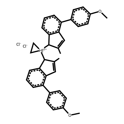 COc1ccc(-c2cccc3c2C=C(C)[CH]3[Hf+2]2([CH]3C(C)=Cc4c(-c5ccc(OC)cc5)cccc43)[CH2][CH2]2)cc1.[Cl-].[Cl-]